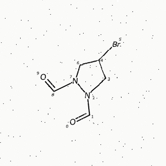 O=CN1CC(Br)CN1C=O